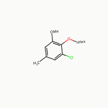 CCCCCCOc1c(Cl)cc(C)cc1OC